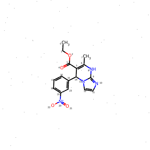 CCOC(=O)C1=C(C)Nc2nccn2C1c1cccc([N+](=O)[O-])c1